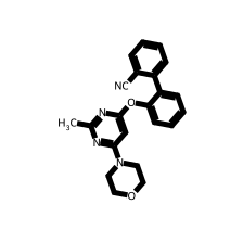 Cc1nc(Oc2ccccc2-c2ccccc2C#N)cc(N2CCOCC2)n1